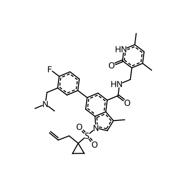 C=CCC1(S(=O)(=O)n2cc(C)c3c(C(=O)NCc4c(C)cc(C)[nH]c4=O)cc(-c4ccc(F)c(CN(C)C)c4)cc32)CC1